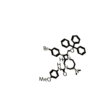 COc1ccc(NC(=O)N2C[C@@H](N(C)C)CCN3[C@H](COC(c4ccccc4)(c4ccccc4)c4ccccc4)[C@H](c4ccc(Br)cc4)[C@@H]3C2)cc1